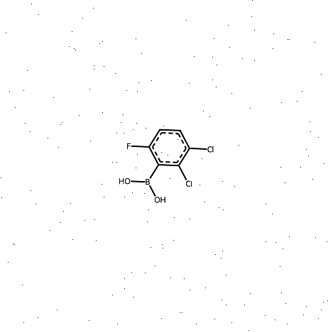 OB(O)c1c(F)ccc(Cl)c1Cl